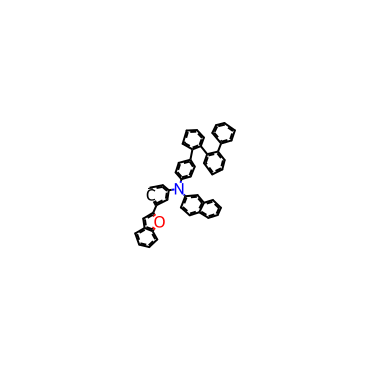 c1ccc(-c2ccccc2-c2ccccc2-c2ccc(N(c3cccc(-c4cc5ccccc5o4)c3)c3ccc4ccccc4c3)cc2)cc1